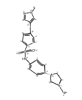 CCCN1CC[C@@H](c2ccc(NS(=O)(=O)c3ccc(-c4cnn(C)c4)cc3)cc2)C1